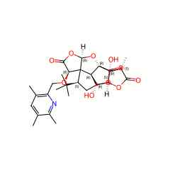 Cc1cc(C)c(CO[C@H]2C(=O)O[C@H]3O[C@]45C(=O)OC6C[C@@H](C(C)(C)C)C32[C@@]64[C@@H](O)[C@@H]2OC(=O)[C@@H](C)[C@@]25O)nc1C